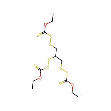 CCOC(=S)SSCC(CSSC(=S)OCC)SSC(=S)OCC